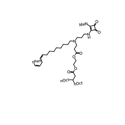 CCCCC/C=C\C/C=C\CCCCCCCCN(CCCNc1c(NC)c(=O)c1=O)CCC(=O)OCCOC(=O)CC(CCCCCCCC)CCCCCCCC